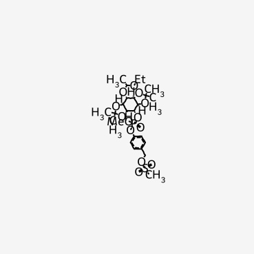 CCOC(C)O[C@@H]1[C@H]2OC(C)(C)O[C@H]2[C@@H](OP(=O)(OC)Oc2ccc(COS(C)(=O)=O)cc2)[C@@H]2OC(C)(C)O[C@@H]12